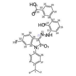 CC(C)c1ccc(N2C(=O)/C(=N\Nc3cccc(-c4cccc(C(=O)O)c4)c3O)c3ccc(F)cc32)cc1